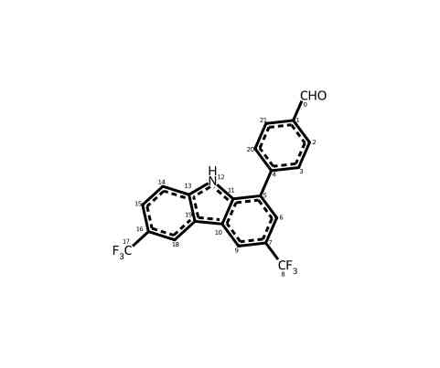 O=Cc1ccc(-c2cc(C(F)(F)F)cc3c2[nH]c2ccc(C(F)(F)F)cc23)cc1